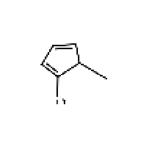 C[C]1C=CC=C1C(C)C